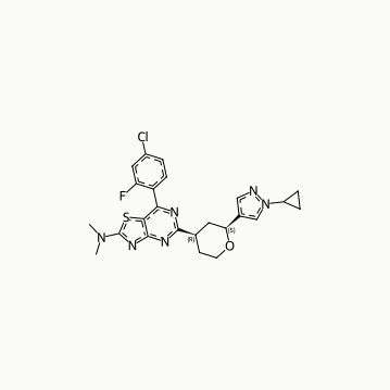 CN(C)c1nc2nc([C@@H]3CCO[C@H](c4cnn(C5CC5)c4)C3)nc(-c3ccc(Cl)cc3F)c2s1